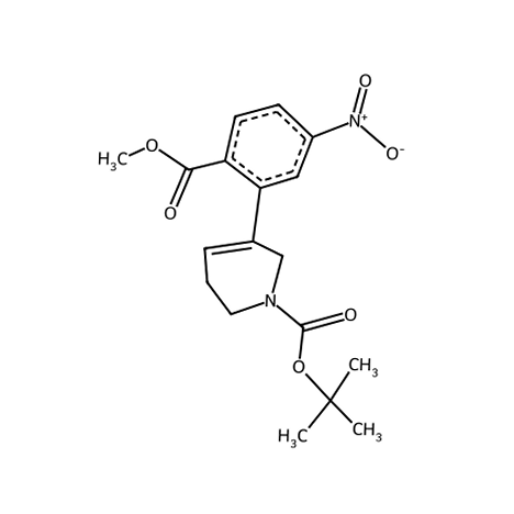 COC(=O)c1ccc([N+](=O)[O-])cc1C1=CCCN(C(=O)OC(C)(C)C)C1